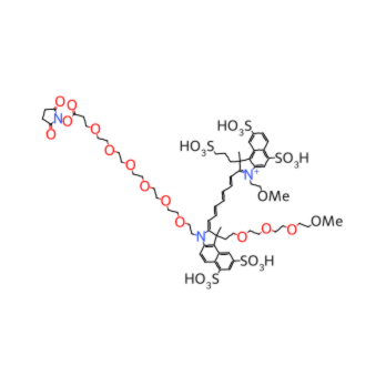 COCCOCCOCCOCCC1(C)\C(=C/C=C/C=C/C=C/C2=[N+](CCOC)c3cc(S(=O)(=O)O)c4ccc(S(=O)(=O)O)cc4c3C2(C)CCCS(=O)(=O)O)N(CCOCCOCCOCCOCCOCCOCCC(=O)ON2C(=O)CCC2=O)c2ccc3c(S(=O)(=O)O)cc(S(=O)(=O)O)cc3c21